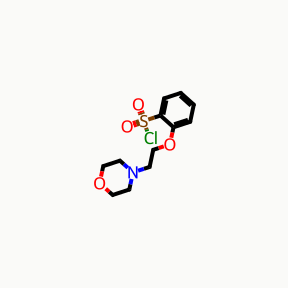 O=S(=O)(Cl)c1ccccc1OCCN1CCOCC1